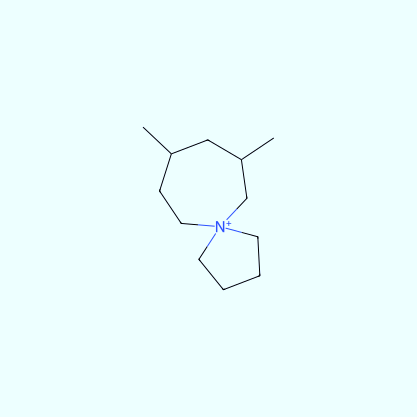 CC1CC[N+]2(CCCC2)CC(C)C1